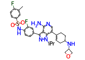 Cc1cc(S(=O)(=O)Nc2ccc(-c3nn(C(C)C)c4c(C5=CCC(NC6COC6)CC5)cnc(N)c34)cc2F)ccc1F